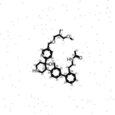 COC[C@H](C)COCc1ccc([C@@]2(O)CCNC[C@@H]2c2ccc(-c3ccccc3CCNC(C)=O)cc2C)nc1